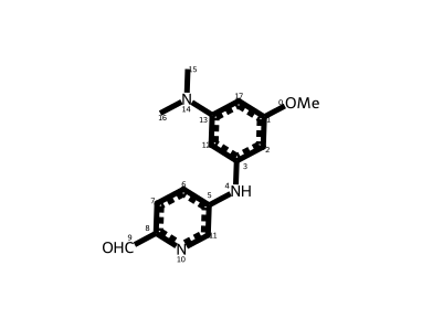 COc1cc(Nc2ccc(C=O)nc2)cc(N(C)C)c1